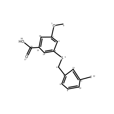 COc1cc(SCc2cccc(I)c2)cc(C(=O)O)c1